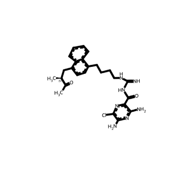 CC(=O)[C@@H](C)Cc1ccc(CCCCNC(=N)NC(=O)c2nc(Cl)c(N)nc2N)c2ccccc12